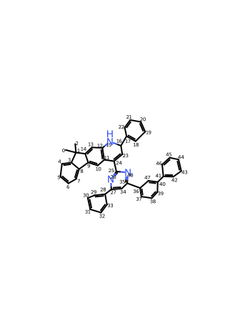 CC1(C)c2ccccc2-c2cc3c(cc21)NC(c1ccccc1)C=C3c1nc(-c2ccccc2)cc(-c2cccc(-c3ccccc3)c2)n1